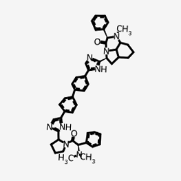 CN(C)[C@@H](C(=O)N1CCCC1c1ncc(-c2ccc(-c3ccc(-c4cnc([C@@H]5CC6CCCC7C6N5C(=O)[C@@H](c5ccccc5)N7C)[nH]4)cc3)cc2)[nH]1)c1ccccc1